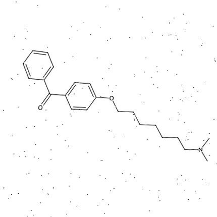 CN(C)CCCCCCCOc1ccc(C(=O)c2ccccc2)cc1